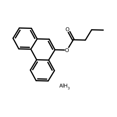 CCCC(=O)Oc1cc2ccccc2c2ccccc12.[AlH3]